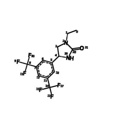 CCN1CC(c2cc(C(F)(F)F)cc(C(F)(F)F)c2)NC1=O